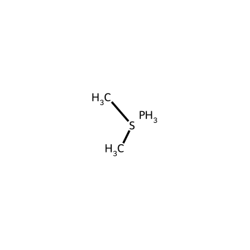 CSC.P